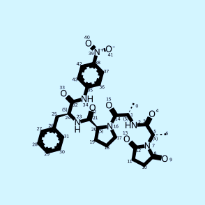 C[C@H](NC(=O)[C@H](C)N1C(=O)CCC1=O)C(=O)N1CCC[C@H]1C(=O)N[C@@H](Cc1ccccc1)C(=O)Nc1ccc([N+](=O)[O-])cc1